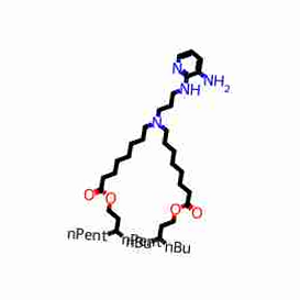 CCCCCC(CCCCC)CCOC(=O)CCCCCCCN(CCCCCCCC(=O)OCCC(CCCC)CCCC)CCCNc1ncccc1N